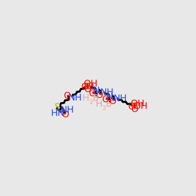 BCC(=O)N(CCNC(=O)CN(CCOP(=O)(O)OCCCCCCNC(=O)CCCCC1SCC2NC(=O)NC21)C(=O)CB)CC(=O)NCCCCCCOP(=O)(O)O